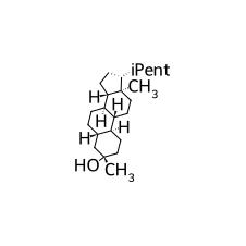 CCC[C@@H](C)[C@H]1CC[C@H]2[C@@H]3CC[C@H]4C[C@@](C)(O)CC[C@@H]4[C@H]3CC[C@]12C